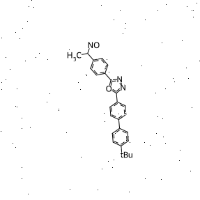 CC(N=O)c1ccc(-c2nnc(-c3ccc(-c4ccc(C(C)(C)C)cc4)cc3)o2)cc1